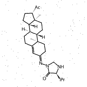 CC(=O)[C@H]1CC[C@H]2[C@@H]3CCC4=C/C(=N/N5CN[C@@H](C(C)C)C5=O)CC[C@]4(C)[C@H]3CC[C@]12C